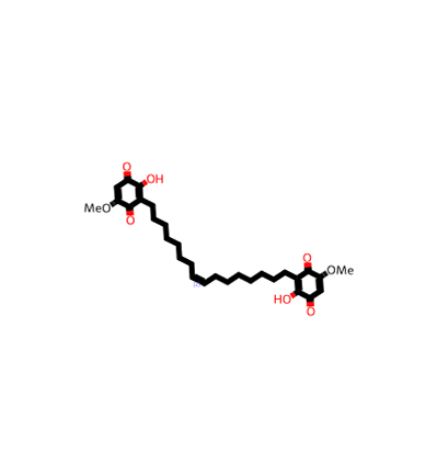 COC1=CC(=O)C(O)=C(CCCCCCC/C=C\CCCCCCCC2=C(O)C(=O)C=C(OC)C2=O)C1=O